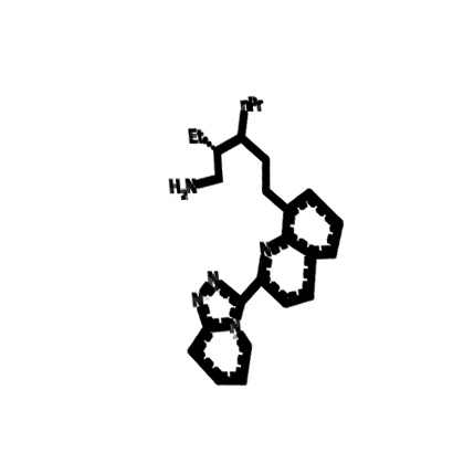 CCCC(CCc1cccc2ccc(-c3nnc4ccccn34)nc12)[C@@H](CC)CN